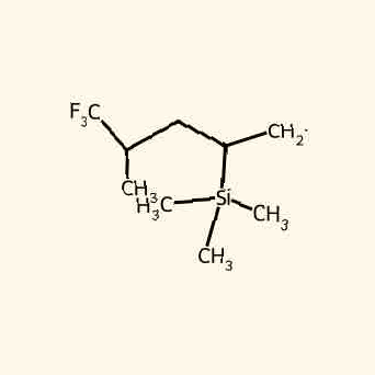 [CH2]C(CC(C)C(F)(F)F)[Si](C)(C)C